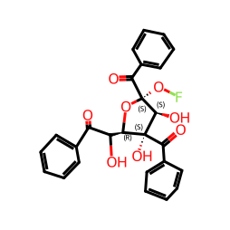 O=C(c1ccccc1)C(O)[C@H]1O[C@@](OF)(C(=O)c2ccccc2)[C@@H](O)[C@@]1(O)C(=O)c1ccccc1